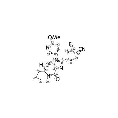 COc1ccc(-n2c(-c3ccc(C#N)c(F)c3)nc(C(=O)N3CCCCC3)c2C)cn1